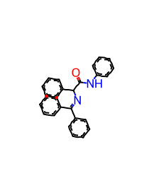 O=C(Nc1ccccc1)C(N=C(c1ccccc1)c1ccccc1)c1ccccc1